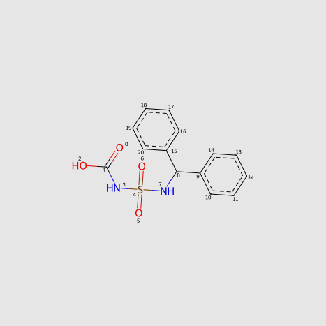 O=C(O)NS(=O)(=O)NC(c1ccccc1)c1ccccc1